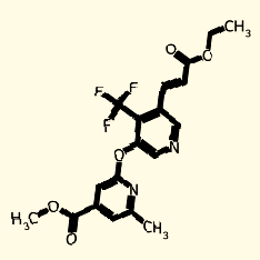 CCOC(=O)/C=C/c1cncc(Oc2cc(C(=O)OC)cc(C)n2)c1C(F)(F)F